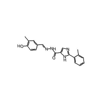 Cc1cc(C=NNC(=O)c2cnc(-c3ccccc3C)[nH]2)ccc1O